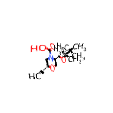 C#C[C@@H]1CN(C(=O)O)[C@@H](CO[Si](C)(C)C(C)(C)C)CO1